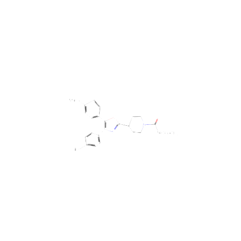 COc1ccc(-c2oc(C3CCN(C(=O)N(C)O)CC3)nc2-c2ccc(C(C)C)cc2)cc1